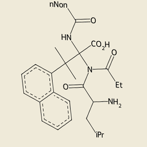 CCCCCCCCCC(=O)NC(C(=O)O)(N(C(=O)CC)C(=O)C(N)CC(C)C)C(C)(C)c1cccc2ccccc12